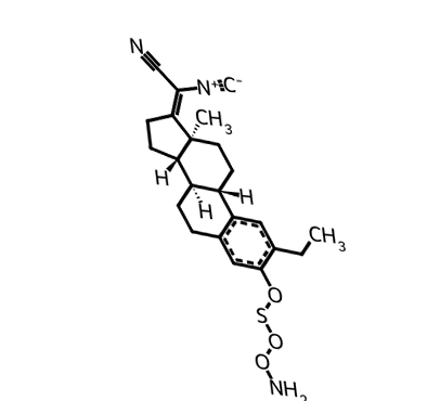 [C-]#[N+]/C(C#N)=C1/CC[C@H]2[C@@H]3CCc4cc(OSOON)c(CC)cc4[C@H]3CC[C@]12C